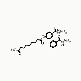 NNC(=O)c1ccccc1.NNC(=O)c1ccccc1.O=C(O)CCCCCCCC(=O)O